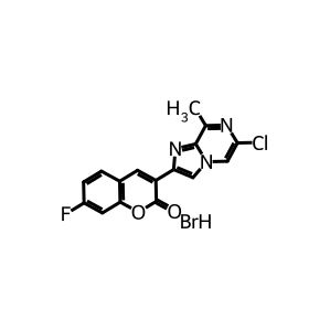 Br.Cc1nc(Cl)cn2cc(-c3cc4ccc(F)cc4oc3=O)nc12